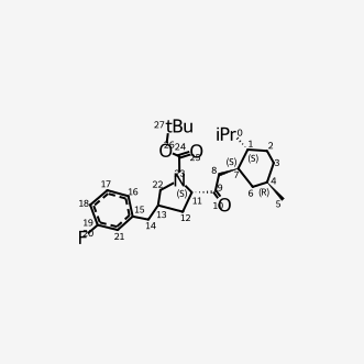 CC(C)[C@@H]1CC[C@@H](C)C[C@H]1CC(=O)[C@@H]1CC(Cc2cccc(F)c2)CN1C(=O)OC(C)(C)C